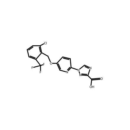 O=C(O)c1ncn(-c2ccc(OCc3c(Cl)cccc3C(F)(F)F)cn2)n1